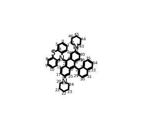 c1ccc2c(c1)Sc1ccccc1N2c1c2ccc(N3CCCCC3)cc2c(-c2cccc3ccccc23)c2ccc(N3CCCCC3)cc12